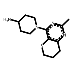 Cc1nc2c(c(N3CCC(N)CC3)n1)SCCC2